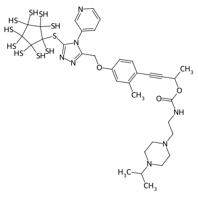 Cc1cc(OCc2nnc(SC3(S)C(S)(S)C(S)(S)C(S)(S)C3(S)S)n2-c2cccnc2)ccc1C#CC(C)OC(=O)NCCN1CCN(C(C)C)CC1